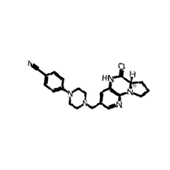 N#Cc1ccc(N2CCN(Cc3cnc4c(c3)NC(=O)[C@@H]3CCCN43)CC2)cc1